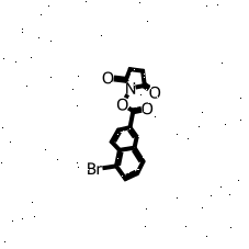 O=C(ON1C(=O)CCC1=O)c1ccc2c(Br)cccc2c1